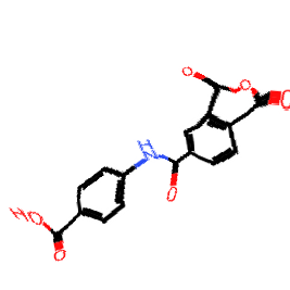 O=C(O)c1ccc(NC(=O)c2ccc3c(c2)C(=O)OC3=O)cc1